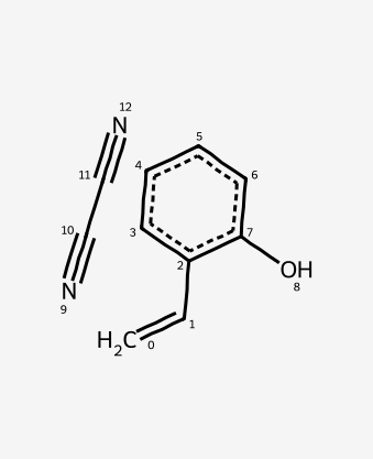 C=Cc1ccccc1O.N#CC#N